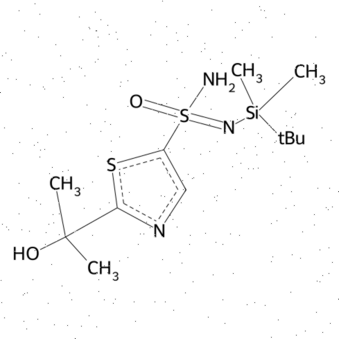 CC(C)(O)c1ncc(S(N)(=O)=N[Si](C)(C)C(C)(C)C)s1